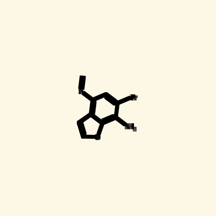 C=Pc1cc(C(C)C)c(N)c2occc12